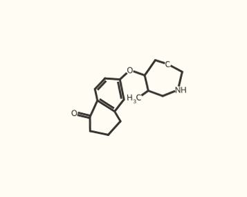 CC1CNCCCC1Oc1ccc2c(c1)CCCC2=O